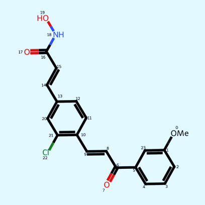 COc1cccc(C(=O)C=Cc2ccc(C=CC(=O)NO)cc2Cl)c1